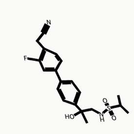 CC(C)S(=O)(=O)NCC(C)(O)c1ccc(-c2ccc(CC#N)c(F)c2)cc1